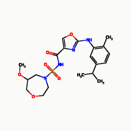 COC1COCCN(S(=O)(=O)NC(=O)c2coc(Nc3cc(C(C)C)ccc3C)n2)C1